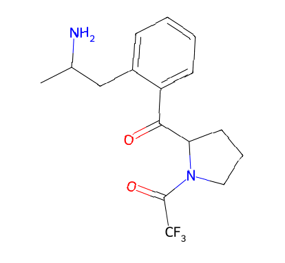 CC(N)Cc1ccccc1C(=O)C1CCCN1C(=O)C(F)(F)F